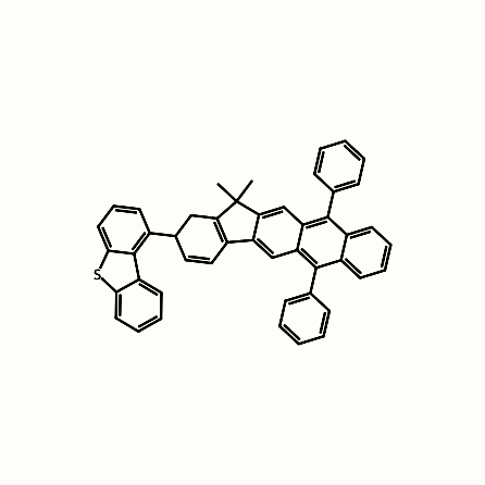 CC1(C)C2=C(C=CC(c3cccc4sc5ccccc5c34)C2)c2cc3c(-c4ccccc4)c4ccccc4c(-c4ccccc4)c3cc21